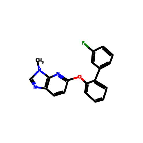 Cn1cnc2ccc(Oc3ccccc3-c3cccc(F)c3)nc21